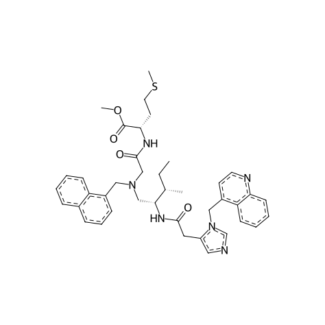 CC[C@H](C)[C@@H](CN(CC(=O)N[C@@H](CCSC)C(=O)OC)Cc1cccc2ccccc12)NC(=O)Cc1cncn1Cc1ccnc2ccccc12